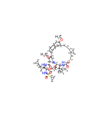 COc1cc2ccc3cc2cc1CCCC1(CCOC(=O)N[C@@H](C(C)(C)C)C(=O)N2C[C@@]3(OC)C[C@H]2C(=O)N[C@]2(C(=O)NS(=O)(=O)C3CC3)C[C@H]2C2CC2)CC1